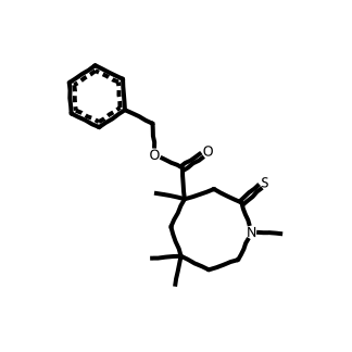 CN1CCC(C)(C)CC(C)(C(=O)OCc2ccccc2)CC1=S